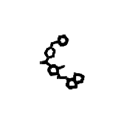 O=C(c1ccc(NSc2cccc3cccnc23)c(F)c1)N1CCN(Cc2ccccc2)CC1